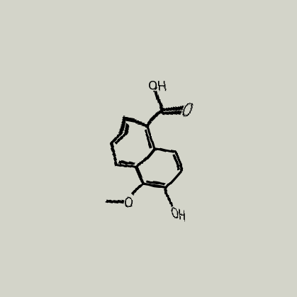 COc1c(O)ccc2c(C(=O)O)cccc12